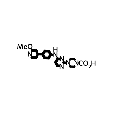 COc1cc(-c2ccc(Nc3ccnc(N4CCN(C(=O)O)CC4)n3)cc2)ccn1